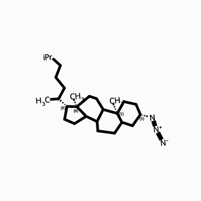 CC(C)CCCC(C)[C@H]1CCC2C3CCC4C[C@@H](N=[N+]=[N-])CC[C@]4(C)C3CC[C@@]21C